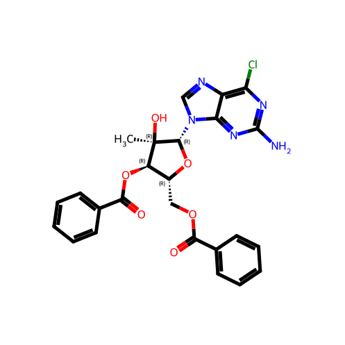 C[C@@]1(O)[C@H](OC(=O)c2ccccc2)[C@@H](COC(=O)c2ccccc2)O[C@H]1n1cnc2c(Cl)nc(N)nc21